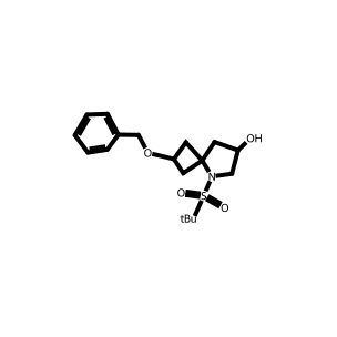 CC(C)(C)S(=O)(=O)N1CC(O)CC12CC(OCc1ccccc1)C2